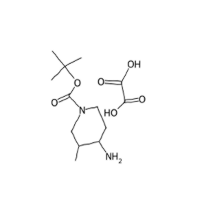 CC1CN(C(=O)OC(C)(C)C)CCC1N.O=C(O)C(=O)O